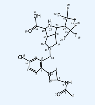 CC(=O)NC1CN(c2ccc(Cl)cc2CN2CC3C(C(=O)O)NC(C(C(F)(F)F)C(F)(F)F)C3C2)C1